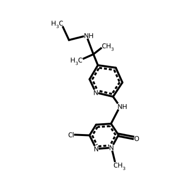 CCNC(C)(C)c1ccc(Nc2cc(Cl)nn(C)c2=O)nc1